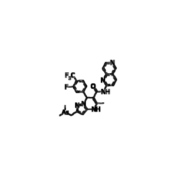 CC1=C(C(=O)Nc2ccc3cnccc3n2)C(c2ccc(C(F)(F)F)c(F)c2)n2nc(C[As](C)C)cc2N1